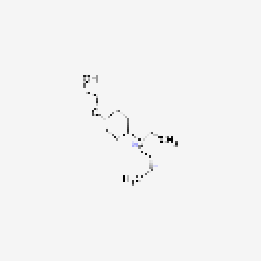 C/C=C\C=C(/CC)C1CCC(OCCO)CC1